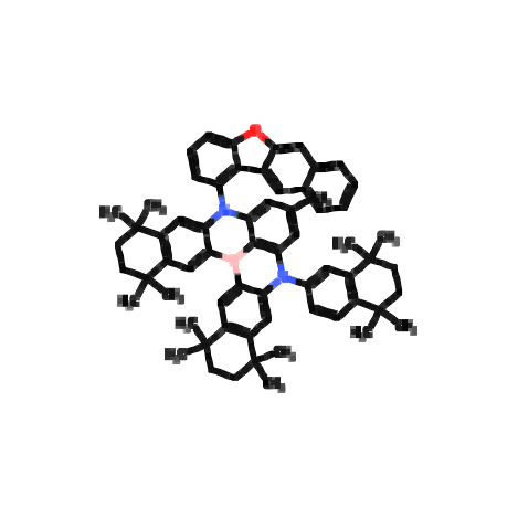 Cc1cc2c3c(c1)N(c1cccc4oc5cc6ccccc6cc5c14)c1cc4c(cc1B3c1cc3c(cc1N2c1ccc2c(c1)C(C)(C)CCC2(C)C)C(C)(C)CCC3(C)C)C(C)(C)CCC4(C)C